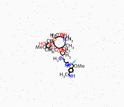 CC[C@H]1OC(=O)[C@H](C)[C@@H](O[C@H]2C[C@@](C)(OC)[C@@H](O)[C@H](C)O2)[C@H](C)[C@@H](O[C@H]2C[C@@H](N(C)CCc3cn([C@H](CF)[C@H](OC)c4ccc(C(C)=N)cc4)nn3)C[C@@H](C)O2)[C@](C)(O)C[C@@H](C)CN(C)[C@H](C)[C@@H](O)[C@]1(C)O